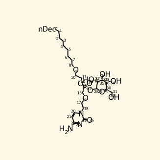 CCCCCCCCCCCCCCCCCCOCCOP(=O)(COCCn1ccc(N)nc1=O)OC1O[C@H](CO)[C@H](O)[C@H](O)[C@H]1O